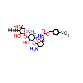 CNC1C(O)C(OC2C(N)CC(N)C(OC3OC(CNC(=O)OCc4ccc([N+](=O)[O-])cc4)CCC3N)C2O)OCC1(C)O